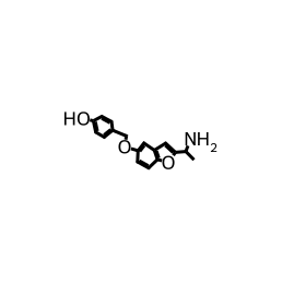 CC(N)c1cc2cc(OCc3ccc(O)cc3)ccc2o1